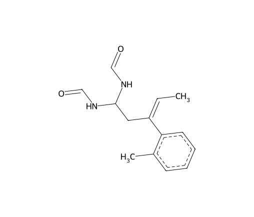 C/C=C(/CC(NC=O)NC=O)c1ccccc1C